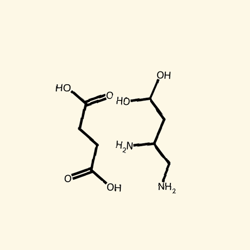 NCC(N)CC(O)O.O=C(O)CCC(=O)O